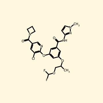 CC(COC(F)F)Oc1cc(Oc2ncc(C(=O)N3CCC3)cc2Cl)cc(C(=O)Nc2ccn(C)n2)c1